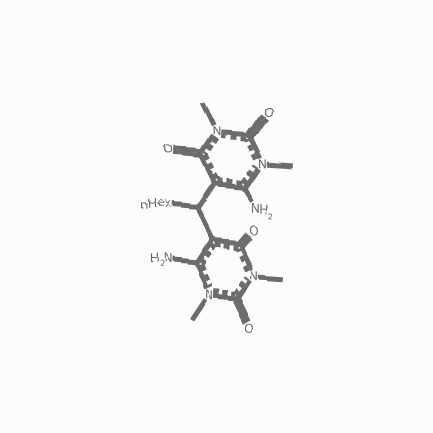 CCCCCCC(c1c(N)n(C)c(=O)n(C)c1=O)c1c(N)n(C)c(=O)n(C)c1=O